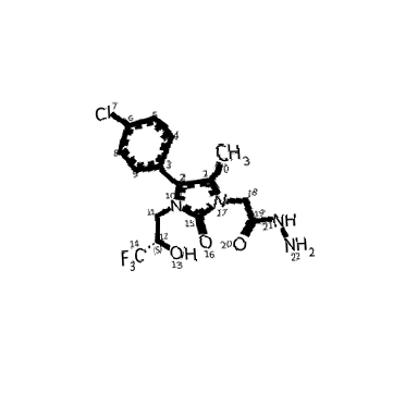 Cc1c(-c2ccc(Cl)cc2)n(C[C@H](O)C(F)(F)F)c(=O)n1CC(=O)NN